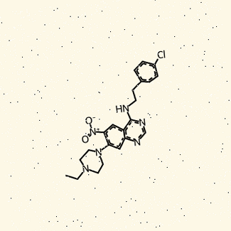 CCN1CCN(c2cc3ncnc(NCCc4ccc(Cl)cc4)c3cc2[N+](=O)[O-])CC1